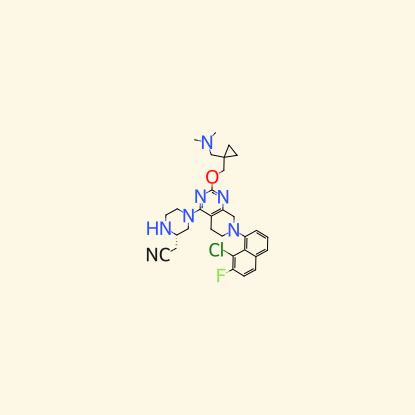 CN(C)CC1(COc2nc3c(c(N4CCN[C@@H](CC#N)C4)n2)CCN(c2cccc4ccc(F)c(Cl)c24)C3)CC1